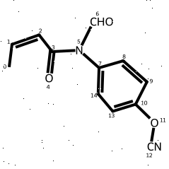 C/C=C\C(=O)N(C=O)c1ccc(OC#N)cc1